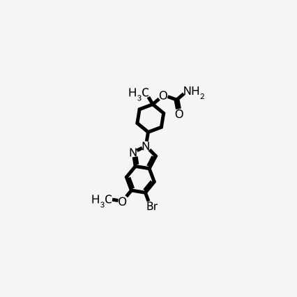 COc1cc2nn(C3CCC(C)(OC(N)=O)CC3)cc2cc1Br